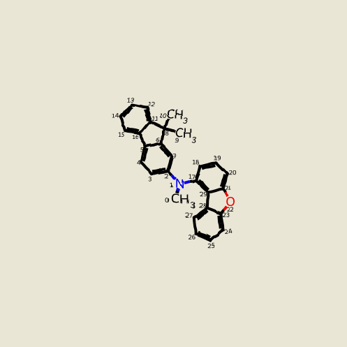 CN(c1ccc2c(c1)C(C)(C)c1ccccc1-2)c1cccc2oc3ccccc3c12